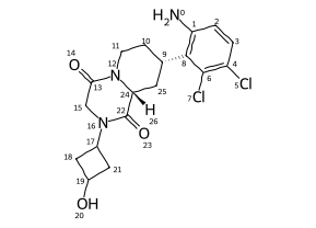 Nc1ccc(Cl)c(Cl)c1[C@H]1CCN2C(=O)CN(C3CC(O)C3)C(=O)[C@H]2C1